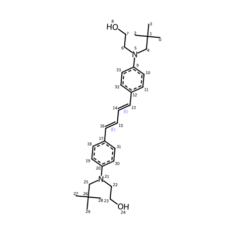 CC(C)(C)CN(CCO)c1ccc(/C=C/C=C/c2ccc(N(CCO)CC(C)(C)C)cc2)cc1